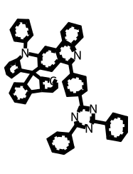 c1ccc(-c2nc(-c3ccccc3)nc(-c3ccc(-c4nc5ccccc5c5cc6c(cc45)C4(c5ccccc5-c5ccccc54)c4ccccc4N6c4ccccc4)cc3)n2)cc1